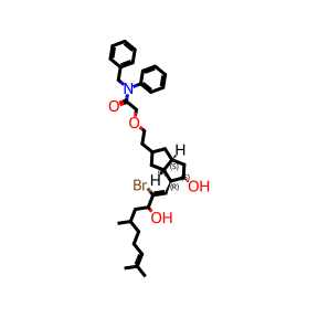 CC(C)=CCCC(C)CC(O)C(Br)=C[C@H]1[C@@H]2CC(CCOCC(=O)N(Cc3ccccc3)c3ccccc3)C[C@H]2C[C@@H]1O